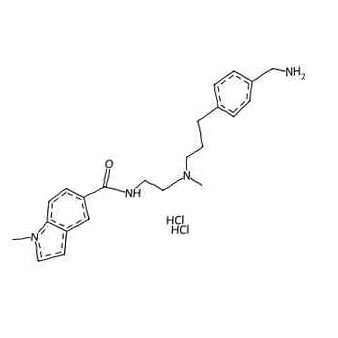 CN(CCCc1ccc(CN)cc1)CCNC(=O)c1ccc2c(ccn2C)c1.Cl.Cl